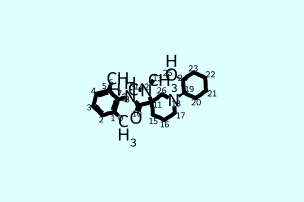 Cc1cccc(C)c1NC(=O)C1(N(C)C)CCCN([C@@H]2CCCC[C@H]2O)C1